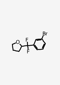 FC(F)(c1cccc(Br)c1)C1CCCO1